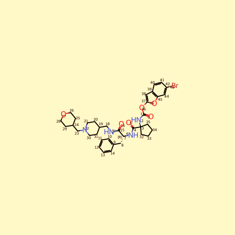 O=C(NC1(C(=O)N[C@H](Cc2ccccc2)C(=O)NCC2CCN(CC3CCOCC3)CC2)CCCC1)Oc1cc2ccc(Br)cc2o1